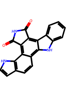 O=C1NC(=O)c2c1c1c(ccc3cc[nH]c31)c1[nH]c3ccccc3c21